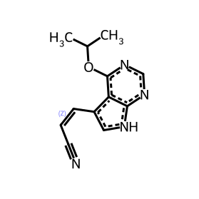 CC(C)Oc1ncnc2[nH]cc(/C=C\C#N)c12